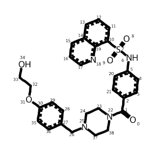 O=C(c1ccc(NS(=O)(=O)c2cccc3cccnc23)cc1)N1CCN(Cc2ccc(OCCO)cc2)CC1